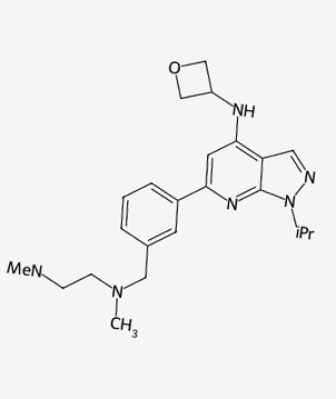 CNCCN(C)Cc1cccc(-c2cc(NC3COC3)c3cnn(C(C)C)c3n2)c1